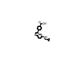 O=C(O)c1ccc(-c2cnc3ccc(NCC4CC4)nn23)cc1